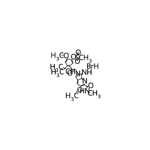 Br.CCOc1cc2c(nc1C(=O)NC)C(=N)N(CC(=O)c1cc(OS(C)(=O)=O)c(OC)cc1C(C)(C)C)C2